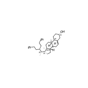 CC(C)CCC(CCC(C)C)[C@@H](C)[C@H]1CC[C@H]2[C@@H]3CC=C4C[C@@H](O)CC[C@]4(C)[C@H]3CC[C@]12C